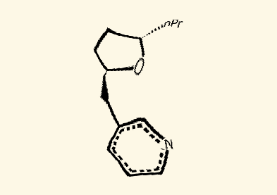 CCC[C@H]1CC[C@H](Cc2cccnc2)O1